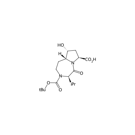 CC(C)[C@@H]1C(=O)N2[C@H](CCN1C(=O)OC(C)(C)C)[C@H](O)C[C@H]2C(=O)O